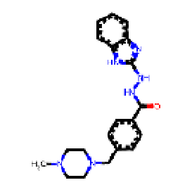 CN1CCN(Cc2ccc(C(=O)NNc3nc4ccccc4[nH]3)cc2)CC1